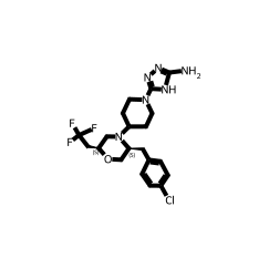 Nc1nnc(N2CCC(N3C[C@H](CC(F)(F)F)OC[C@@H]3Cc3ccc(Cl)cc3)CC2)[nH]1